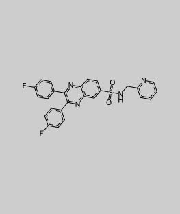 O=S(=O)(NCc1ccccn1)c1ccc2nc(-c3ccc(F)cc3)c(-c3ccc(F)cc3)nc2c1